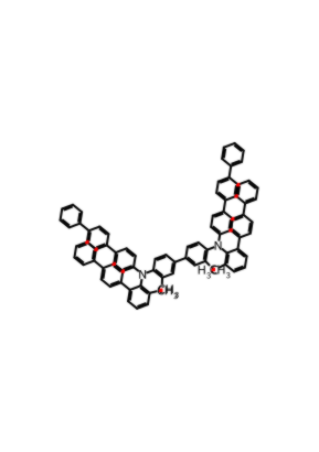 Cc1cc(-c2ccc(N(c3ccc(-c4ccc(-c5ccccc5)cc4)cc3)c3c(C)cccc3-c3ccc(-c4ccccc4)cc3)c(C)c2)ccc1N(c1ccc(-c2ccc(-c3ccccc3)cc2)cc1)c1c(C)cccc1-c1ccc(-c2ccccc2)cc1